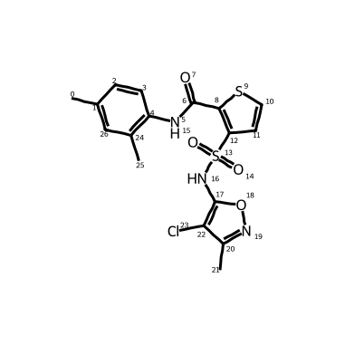 Cc1ccc(NC(=O)c2sccc2S(=O)(=O)Nc2onc(C)c2Cl)c(C)c1